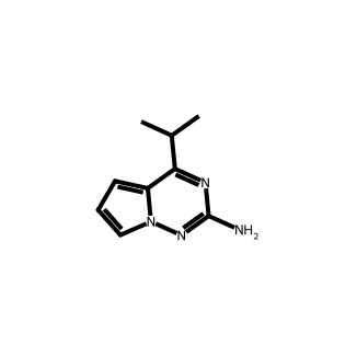 CC(C)c1nc(N)nn2cccc12